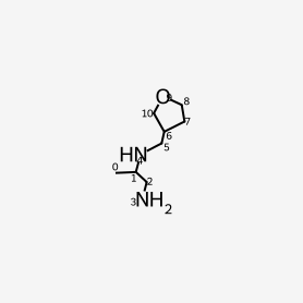 CC(CN)NCC1CCOC1